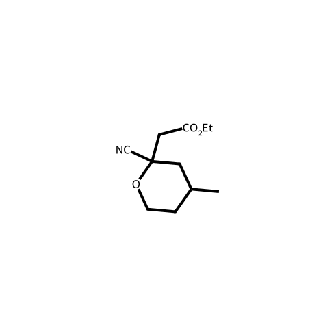 CCOC(=O)CC1(C#N)CC(C)CCO1